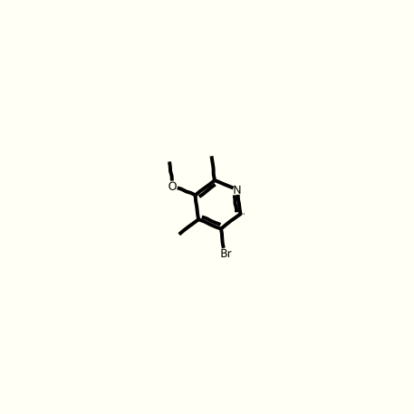 COc1c(C)n[c]c(Br)c1C